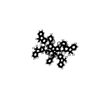 CC1(C)c2ccccc2-c2ccc(N(c3ccc4c(c3)C(C)(C)c3ccccc3-4)c3cc4c(c5oc6ccccc6c35)-c3c(cc(N(c5ccc6c(c5)C(C)(C)c5ccccc5-6)c5ccc6c(c5)C(C)(C)c5ccccc5-6)c5c3oc3ccccc35)C43c4ccccc4-n4c5ccccc5c5cccc3c54)cc21